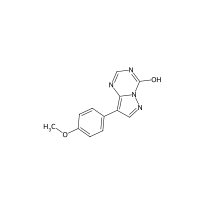 COc1ccc(-c2cnn3c(O)ncnc23)cc1